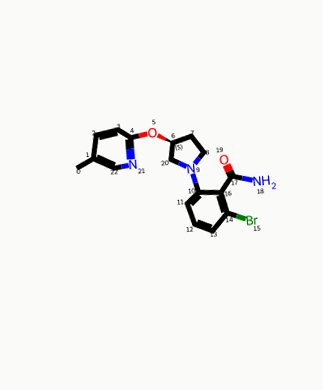 Cc1ccc(O[C@H]2CCN(c3cccc(Br)c3C(N)=O)C2)nc1